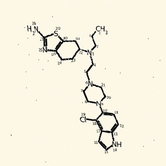 CCCN(CCN1CCN(c2ccc3[nH]ccc3c2Cl)CC1)[C@H]1CCc2nc(N)sc2C1